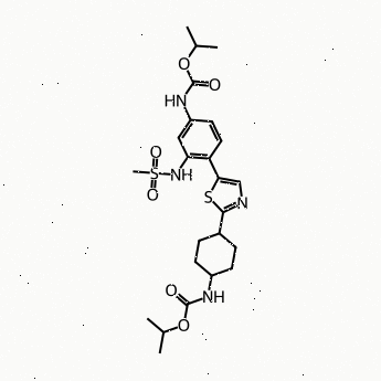 CC(C)OC(=O)Nc1ccc(-c2cnc(C3CCC(NC(=O)OC(C)C)CC3)s2)c(NS(C)(=O)=O)c1